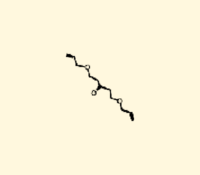 C=CCOCCC(=O)CCOCC=C